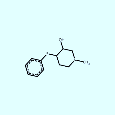 CN1CCC(Sc2ccccc2)C(O)C1